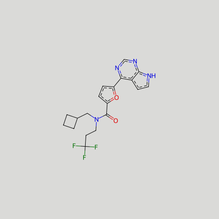 O=C(c1ccc(-c2ncnc3[nH]ccc23)o1)N(CCC(F)(F)F)CC1CCC1